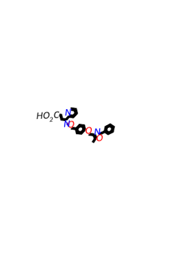 Cc1oc(-c2ccccc2)nc1COc1ccc(CON=C(CCC(=O)O)c2ccccn2)cc1